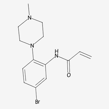 C=CC(=O)Nc1cc(Br)ccc1N1CCN(C)CC1